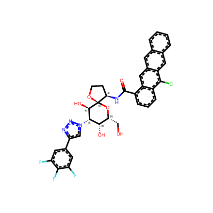 O=C(N[C@@H]1CCO[C@]12O[C@H](CO)[C@H](O)[C@H](n1cc(-c3cc(F)c(F)c(F)c3)nn1)[C@H]2O)c1cccc2c(Cl)c3cc4ccccc4cc3cc12